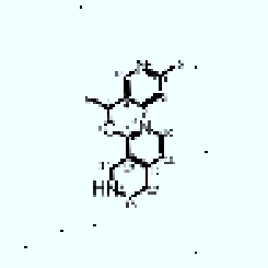 Cc1ccc(C(C)Oc2nccc3c2CNCC3)cn1